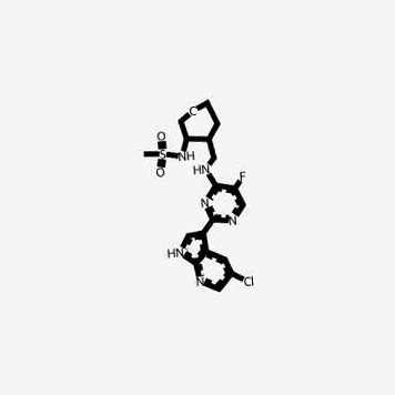 CS(=O)(=O)NC1CCCCC1CNc1nc(-c2c[nH]c3ncc(Cl)cc23)ncc1F